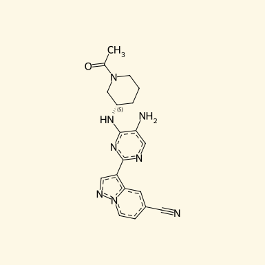 CC(=O)N1CCC[C@H](Nc2nc(-c3cnn4ccc(C#N)cc34)ncc2N)C1